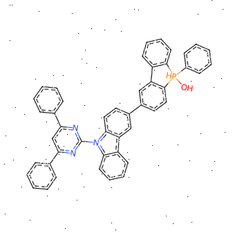 O[PH]1(c2ccccc2)c2ccccc2-c2cc(-c3ccc4c(c3)c3ccccc3n4-c3nc(-c4ccccc4)cc(-c4ccccc4)n3)ccc21